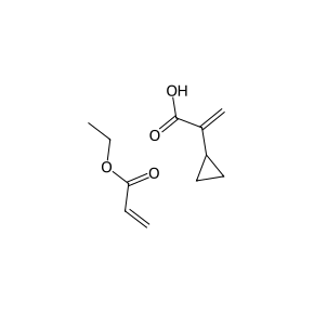 C=C(C(=O)O)C1CC1.C=CC(=O)OCC